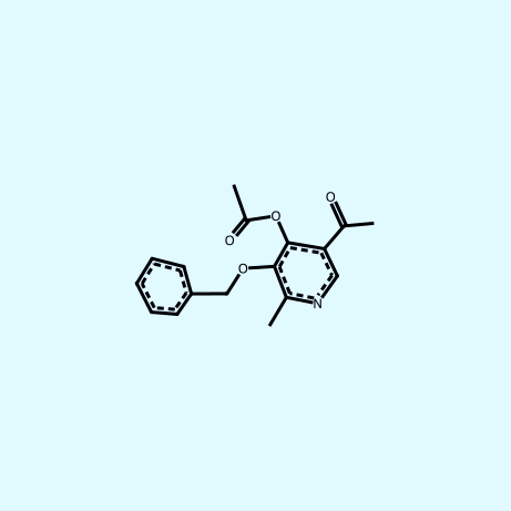 CC(=O)Oc1c(C(C)=O)cnc(C)c1OCc1ccccc1